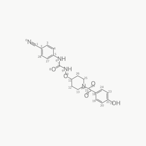 N#Cc1ccc(NC(=O)NOC2CCN(S(=O)(=O)c3ccc(O)cc3)CC2)cc1